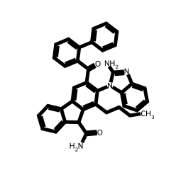 CCCCc1c2c(cc(C(=O)c3ccccc3-c3ccccc3)c1-n1c(N)nc3ccccc31)-c1ccccc1C2C(N)=O